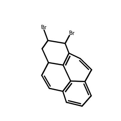 BrC1CC2C=Cc3cccc4ccc(c2c34)C1Br